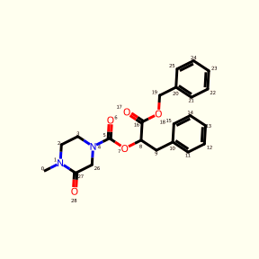 CN1CCN(C(=O)OC(Cc2ccccc2)C(=O)OCc2ccccc2)CC1=O